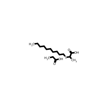 CCC(=O)O.CCCCCCCCCCSC(C)C(=O)O